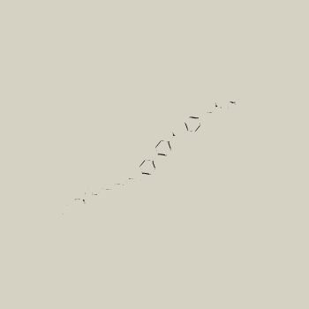 C=COC(=O)COc1ccc(SC(=O)c2ccc(-c3ccc(OCCCCCCOC(=O)C=C)cc3)cc2)cc1